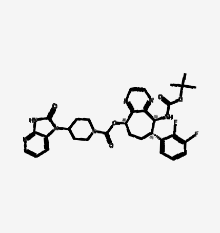 CC(C)(C)OC(=O)N[C@@H]1c2nccnc2[C@H](OC(=O)N2CCC(n3c(=O)[nH]c4ncccc43)CC2)CC[C@H]1c1cccc(F)c1F